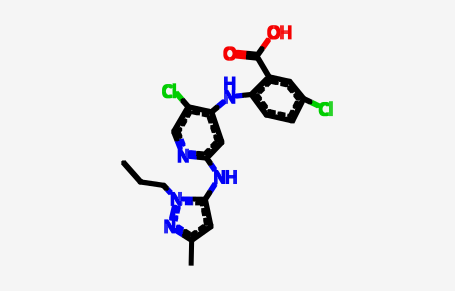 CCCn1nc(C)cc1Nc1cc(Nc2ccc(Cl)cc2C(=O)O)c(Cl)cn1